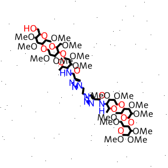 COCC1OC(CO)C(OC)C(OC)C1OC1OC(COC)C(OC2OC(C)C(NC(=O)c3cn(CCn4cc(C(=O)NC5C(C)OC(OC6C(COC)OC(OC7C(COC)OC(OC)C(OC)C7OC)C(OC)C6OC)C(OC)C5OC)nn4)nn3)C(OC)C2OC)C(OC)C1OC